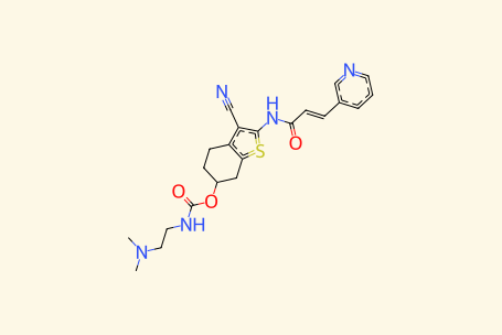 CN(C)CCNC(=O)OC1CCc2c(sc(NC(=O)C=Cc3cccnc3)c2C#N)C1